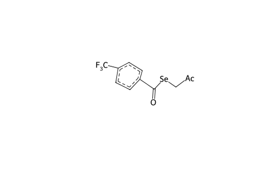 CC(=O)C[Se]C(=O)c1ccc(C(F)(F)F)cc1